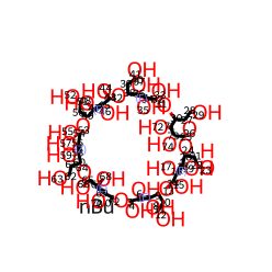 CCCCC1OC(O)/C(O)=C(\O)C(CCO)OC(O)/C(O)=C(\O)C(CCO)OC2OC(CO)C(OC(O)/C(O)=C(\O)C(CCO)OC(O)/C(O)=C(\O)C(CCO)OC(O)/C(O)=C(/O)C(CCO)OC(O)/C(O)=C/1O)C(O)C2O